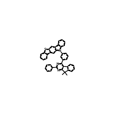 CC1(C)c2ccccc2-c2c(-c3cccc(-n4c5ccccc5c5cc6sc7ccccc7c6cc54)c3)nc(-c3ccccc3)nc21